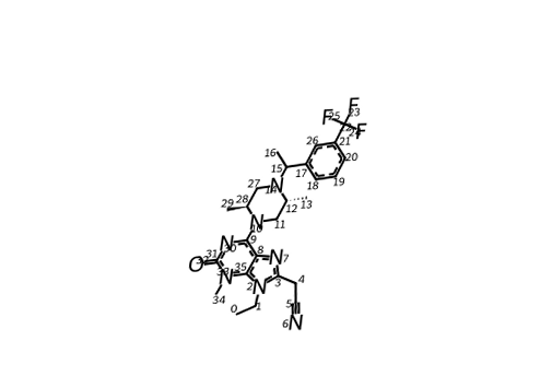 CCn1c(CC#N)nc2c(N3C[C@@H](C)N(C(C)c4cccc(C(F)(F)F)c4)C[C@@H]3C)nc(=O)n(C)c21